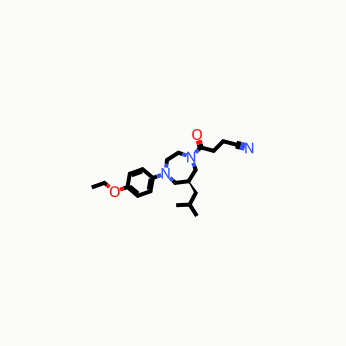 CCOc1ccc(N2CCN(C(=O)CCC#N)C[C@@H](CC(C)C)C2)cc1